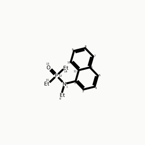 CCN(c1cccc2ccccc12)P(=O)(CC)CC